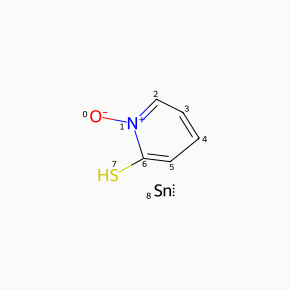 [O-][n+]1ccccc1S.[Sn]